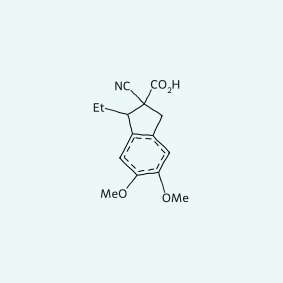 CCC1c2cc(OC)c(OC)cc2CC1(C#N)C(=O)O